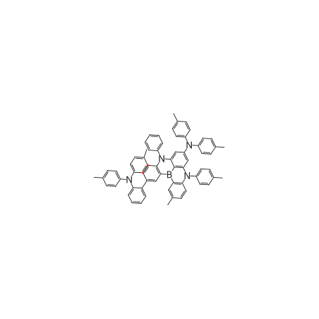 Cc1ccc(N(c2ccc(C)cc2)c2cc3c4c(c2)N(c2ccccc2)c2ccc(-c5ccccc5N(c5ccc(C)cc5)c5ccc(C)cc5)cc2B4c2cc(C)ccc2N3c2ccc(C)cc2)cc1